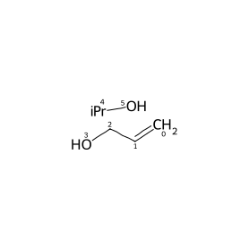 C=CCO.CC(C)O